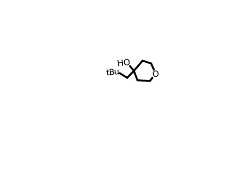 CC(C)(C)CC1(O)CCOCC1